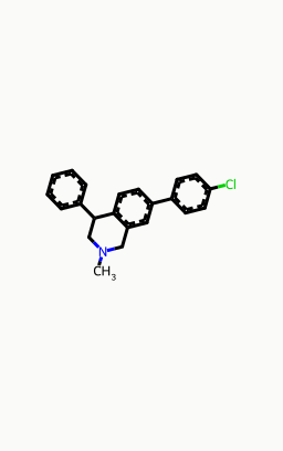 CN1Cc2cc(-c3ccc(Cl)cc3)ccc2C(c2ccccc2)C1